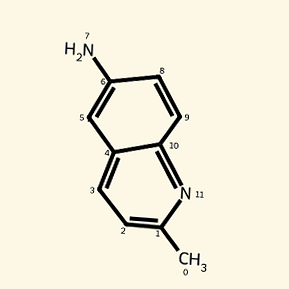 Cc1ccc2[c]c(N)ccc2n1